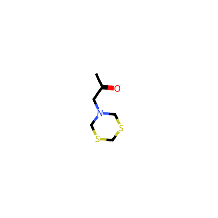 CC(=O)CN1CSCSC1